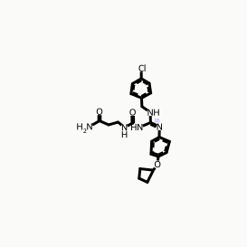 NC(=O)CCNC(=O)N/C(=N\c1ccc(OC2CCC2)cc1)NCc1ccc(Cl)cc1